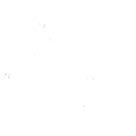 COc1ccc(C(C)(C#N)O[Si](C)(C)C)cc1OCC1CC1